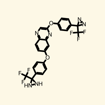 FC(F)(F)C1(c2ccc(Oc3cnc4ccc(Oc5ccc(C6(C(F)(F)F)NN6)cc5)cc4n3)cc2)N=N1